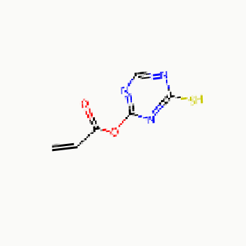 C=CC(=O)Oc1ncnc(S)n1